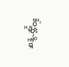 Nc1ccc(-c2csc3c(C=CC(=O)NCc4cccnc4)cnc(N)c23)cc1